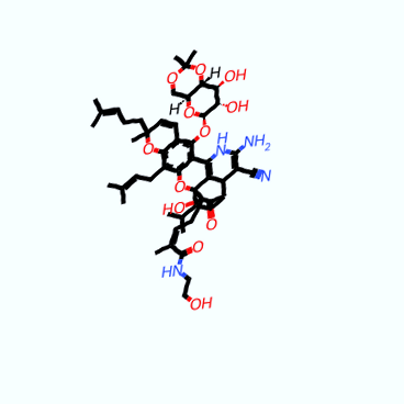 CC(C)=CCCC1(C)C=Cc2c(c(CC=C(C)C)c3c(c2O[C@H]2O[C@H]4COC(C)(C)O[C@@H]4[C@@H](O)[C@@H]2O)C2=C4C(C(C#N)=C(N)N2)C2CC(C(C)C)C4(O3)C(O)(C/C=C(/C)C(=O)NCCO)C2=O)O1